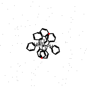 [Cl][Ru]([Cl])(=[CH]c1ccccc1)([PH](c1ccccc1)(c1ccccc1)c1ccccc1)[PH](c1ccccc1)(c1ccccc1)c1ccccc1